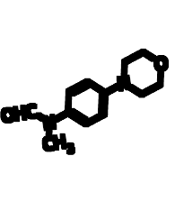 CN(C=O)c1ccc(N2CCOCC2)cc1